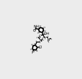 CN(C)C[C@H]1CN(CCc2ccc(F)cc2Cl)CC[C@]1(O)c1cccc(C(N)=O)c1